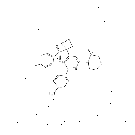 C[C@H]1COCCN1c1cc(C2(S(=O)(=O)c3ccc(F)cc3)CCC2)nc(-c2ccc(N)cc2)n1